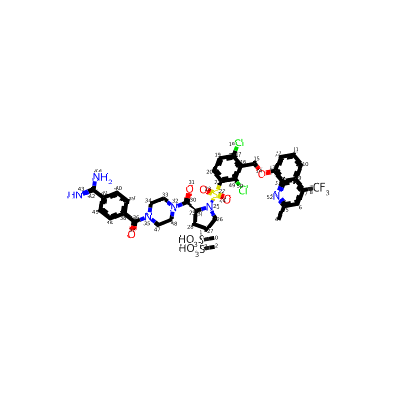 CS(=O)(=O)O.CS(=O)(=O)O.Cc1cc(C(F)(F)F)c2cccc(OCc3c(Cl)ccc(S(=O)(=O)N4CCC[C@H]4C(=O)N4CCN(C(=O)c5ccc(C(=N)N)cc5)CC4)c3Cl)c2n1